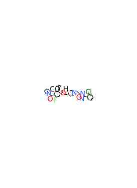 O=C(O)[C@@H]1CCCN1C(=O)C1=C(F)CC(OCC2CCN(Cc3nc(-c4ccccc4Cl)no3)CC2)C(C2CC2)=C1